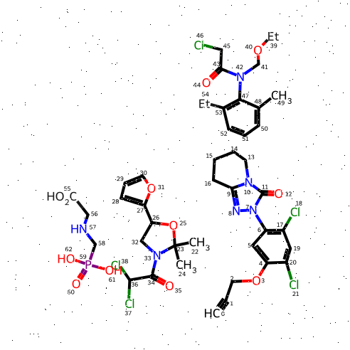 C#CCOc1cc(-n2nc3n(c2=O)CCCC3)c(Cl)cc1Cl.CC1(C)OC(c2ccco2)CN1C(=O)C(Cl)Cl.CCOCN(C(=O)CCl)c1c(C)cccc1CC.O=C(O)CNCP(=O)(O)O